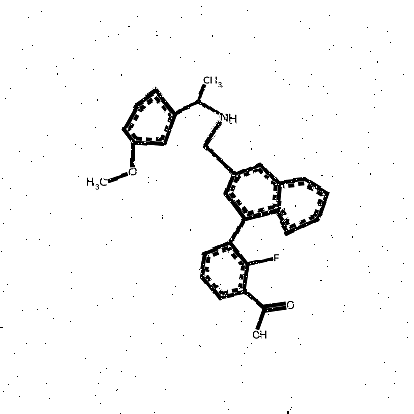 COc1cccc(C(C)NCc2cc(-c3cccc(C(=O)O)c3F)c3ccccc3c2)c1